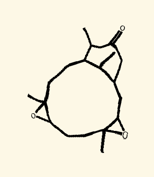 CC1C(=O)CC2CC3OC3(C)CCC3OC3(C)CCC1C2C